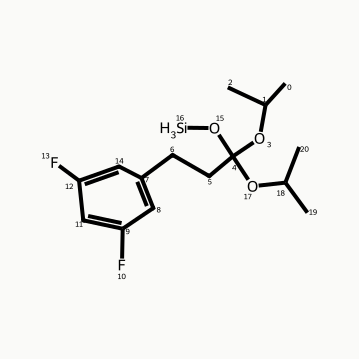 CC(C)OC(CCc1cc(F)cc(F)c1)(O[SiH3])OC(C)C